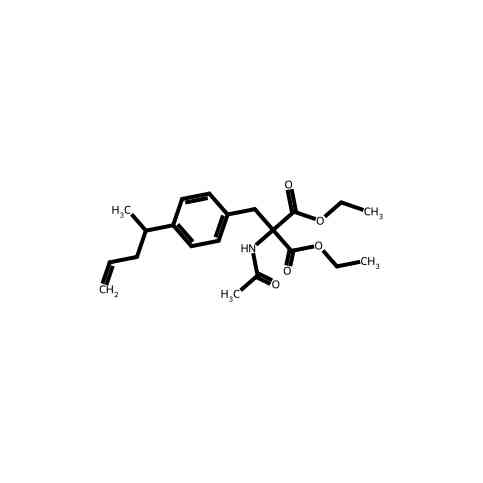 C=CCC(C)c1ccc(CC(NC(C)=O)(C(=O)OCC)C(=O)OCC)cc1